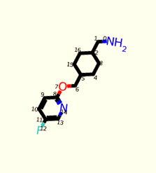 NCC1CCC(COc2ccc(F)cn2)CC1